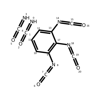 N=C=O.N=C=O.O=C=Nc1cccc(N=C=O)c1N=C=O